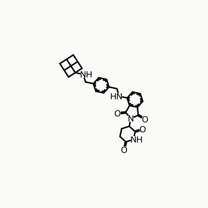 O=C1CCC(N2C(=O)c3cccc(NCc4ccc(CNC56CC7CC8CC(C5)C876)cc4)c3C2=O)C(=O)N1